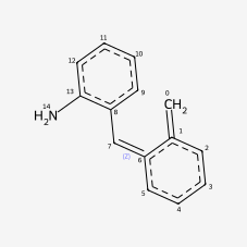 C=c1cccc/c1=C/c1ccccc1N